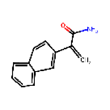 C=C(C(N)=O)c1ccc2ccccc2c1